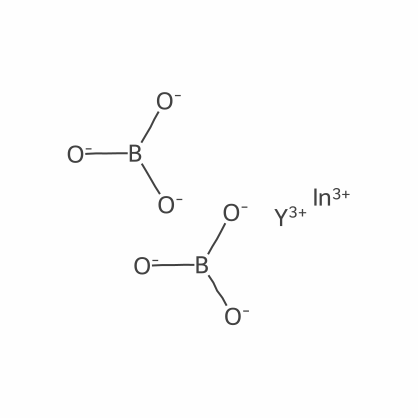 [In+3].[O-]B([O-])[O-].[O-]B([O-])[O-].[Y+3]